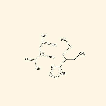 CCC(CCO)c1ncc[nH]1.N[C@@H](CC(=O)O)C(=O)O